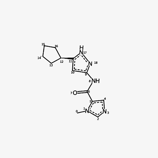 Cn1cncc1C(=O)Nc1cc([C@H]2C[CH]CC2)[nH]n1